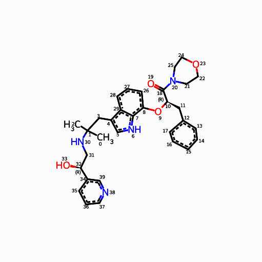 CC(C)(Cc1c[nH]c2c(O[C@H](Cc3ccccc3)C(=O)N3CCOCC3)cccc12)NC[C@H](O)c1cccnc1